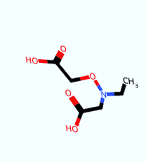 CCN(CC(=O)O)OCC(=O)O